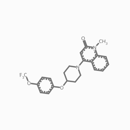 Cn1c(=O)cc(N2CCC(Oc3ccc(OC(F)(F)F)cc3)CC2)c2ccccc21